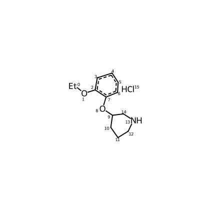 CCOc1ccccc1OC1CCCNC1.Cl